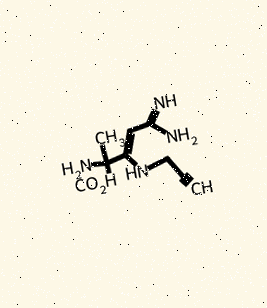 C#CCNC(=CC(=N)N)C(C)(N)C(=O)O